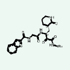 CC(C)(C)NC(=O)C(=O)[C@H](C[C@@H]1CCCNC1=O)NC(=O)CNC(=O)c1cc2ccccc2s1